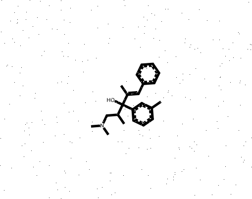 C/C(=C\c1ccccc1)C(O)(c1cccc(C)c1)C(C)CN(C)C